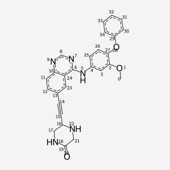 COc1cc(Nc2ncnc3ccc(C#CC4CNC(=O)CN4)cc23)ccc1Oc1ccccc1